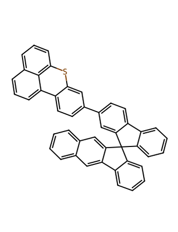 c1ccc2c(c1)-c1ccc(-c3ccc4c(c3)Sc3cccc5cccc-4c35)cc1C21c2ccccc2-c2cc3ccccc3cc21